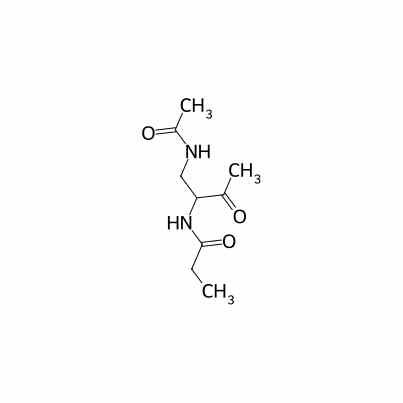 CCC(=O)NC(CNC(C)=O)C(C)=O